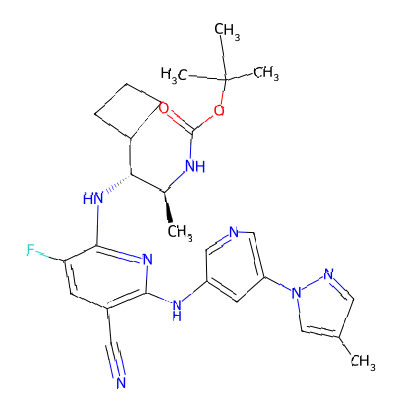 Cc1cnn(-c2cncc(Nc3nc(N[C@H](C4CCC4)[C@H](C)NC(=O)OC(C)(C)C)c(F)cc3C#N)c2)c1